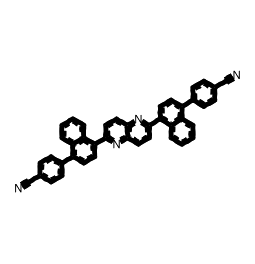 N#Cc1ccc(-c2ccc(-c3ccc4nc(-c5ccc(-c6ccc(C#N)cc6)c6ccccc56)ccc4n3)c3ccccc23)cc1